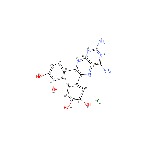 Cl.Nc1nc(N)c2nc(-c3ccc(O)c(O)c3)c(-c3ccc(O)c(O)c3)nc2n1